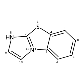 c1ccc2c(c1)sc1[nH]cc[n+]12